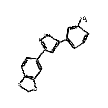 O=[N+]([O-])c1cccc(-c2cc(-c3ccc4c(c3)OCO4)n[nH]2)c1